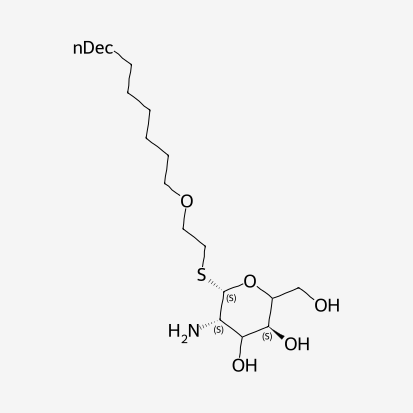 CCCCCCCCCCCCCCCCOCCS[C@@H]1OC(CO)[C@@H](O)C(O)[C@@H]1N